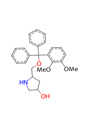 COc1cccc(C(OCC2CC(O)CN2)(c2ccccc2)c2ccccc2)c1OC